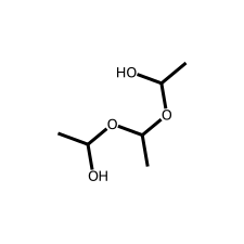 CC(O)OC(C)OC(C)O